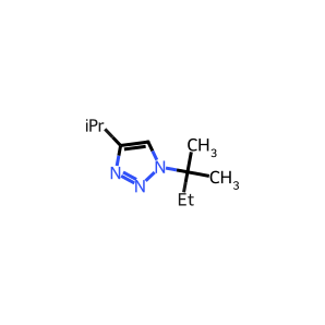 CCC(C)(C)n1cc(C(C)C)nn1